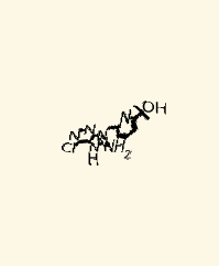 CC(C)(O)c1cccc(CN2c3ncnc(Cl)c3NN2N)n1